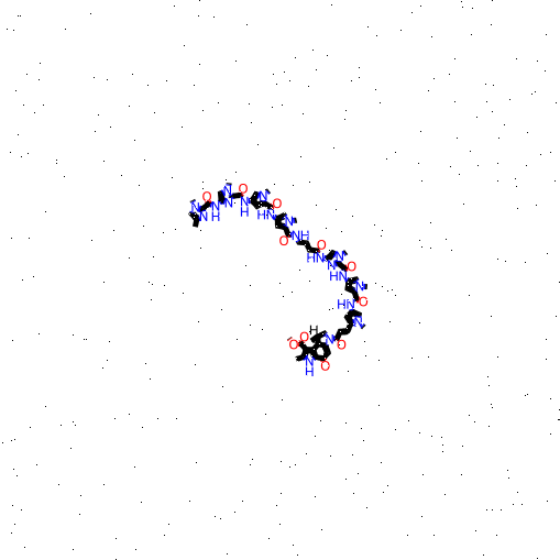 COC(=O)c1c(C)[nH]c2c1[C@@]13C[C@@H]1CN(C(=O)/C=C/c1cc(NC(=O)c4cc(NC(=O)c5nc(NC(=O)CCCNC(=O)c6cc(NC(=O)c7cc(NC(=O)c8nc(NC(=O)c9nc(C)cn9C)cn8C)cn7C)cn6C)cn5C)cn4C)cn1C)C3=CC2=O